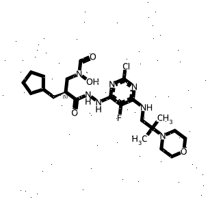 CC(C)(CNc1nc(Cl)nc(NNC(=O)[C@@H](CC2CCCC2)CN(O)C=O)c1F)N1CCOCC1